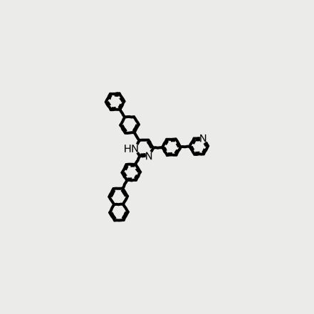 C1=CC2C=CC(c3ccc(C4=NC(c5ccc(-c6cccnc6)cc5)=CC(C5=CCC(c6ccccc6)C=C5)N4)cc3)=CC2C=C1